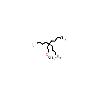 CCCCC(CCCC)(CCCC)CCO[SiH3]